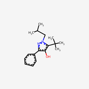 CC(C)Cn1nc(-c2ccccc2)c(O)c1C(C)(C)C